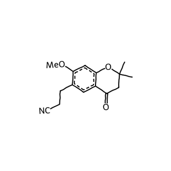 COc1cc2c(cc1CCC#N)C(=O)CC(C)(C)O2